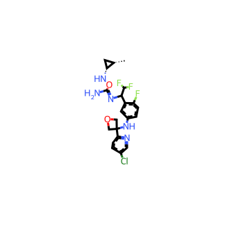 C[C@H]1C[C@H]1NO/C(N)=N\C(c1cc(NC2(c3ccc(Cl)cn3)COC2)ccc1F)C(F)F